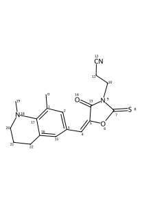 Cc1cc(/C=C2/OC(=S)N(CCC#N)C2=O)cc2c1N(C)CCC2